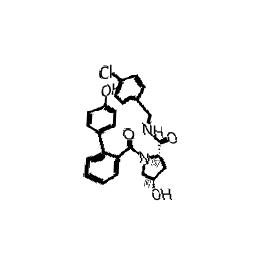 O=C(NCc1ccc(Cl)cc1)[C@@H]1C[C@@H](O)CN1C(=O)c1ccccc1-c1ccc(O)cc1